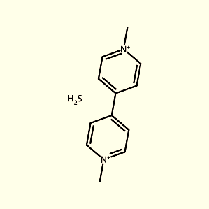 C[n+]1ccc(-c2cc[n+](C)cc2)cc1.S